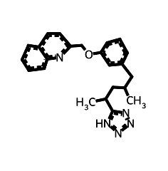 CC(Cc1cccc(OCc2ccc3ccccc3n2)c1)CC(C)c1nnn[nH]1